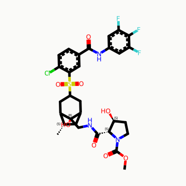 COC(=O)N1CC[C@H](O)[C@H]1C(=O)NC[C@@]1(O)C2CC(S(=O)(=O)c3cc(C(=O)Nc4cc(F)c(F)c(F)c4)ccc3Cl)CC1[C@@H](C)C2